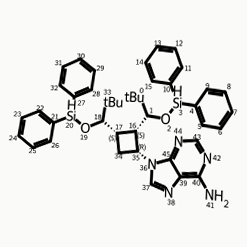 CC(C)(C)C(O[SiH](c1ccccc1)c1ccccc1)[C@H]1[C@@H](C(O[SiH](c2ccccc2)c2ccccc2)C(C)(C)C)C[C@H]1n1cnc2c(N)ncnc21